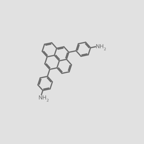 Nc1ccc(-c2cc3cccc4cc(-c5ccc(N)cc5)c5cccc2c5c34)cc1